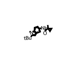 Cn1c(C(C)(C)C)cc2cc(NC(=O)C3(C)CC3)ccc21